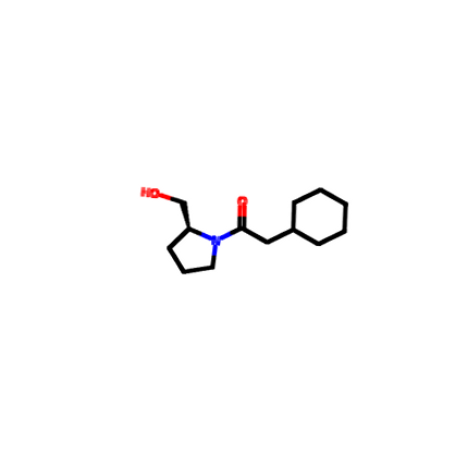 O=C(CC1CCCCC1)N1CCC[C@H]1CO